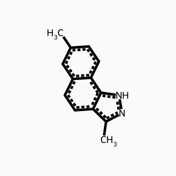 Cc1ccc2c(ccc3c(C)n[nH]c32)c1